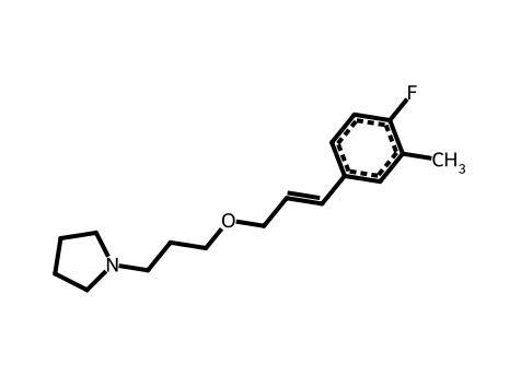 Cc1cc(C=CCOCCCN2CCCC2)ccc1F